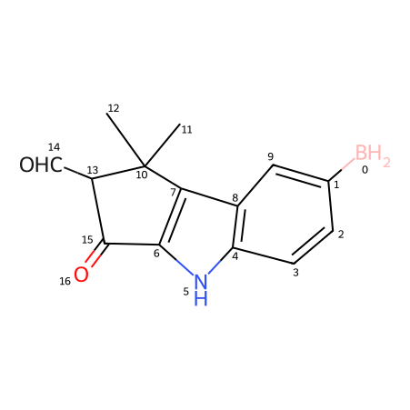 Bc1ccc2[nH]c3c(c2c1)C(C)(C)C(C=O)C3=O